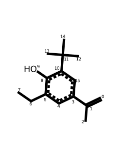 C=C(C)c1cc(CC)c(O)c(C(C)(C)C)c1